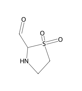 O=CC1NCCS1(=O)=O